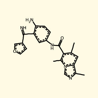 Cc1cc2c(C)ncn2c(C)c1C(=O)Nc1ccc(N)c(C(=N)c2ccoc2)c1